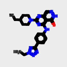 N#CCC1CCN(c2nc(Nc3ccc(-c4nnn(CC(=O)O)n4)cc3)c3c(=O)[nH]ncc3n2)CC1